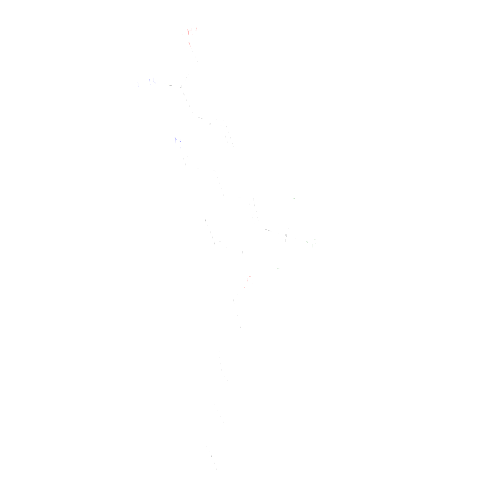 CCCCCCCCOc1ccc(-c2ccc(C(N)CO)nc2)cc1C(F)(F)F